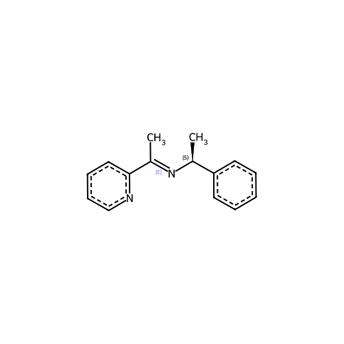 C/C(=N\[C@@H](C)c1ccccc1)c1ccccn1